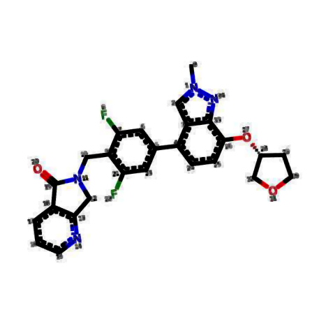 Cn1cc2c(-c3cc(F)c(CN4Cc5ncccc5C4=O)c(F)c3)ccc(O[C@@H]3CCOC3)c2n1